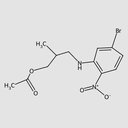 CC(=O)OCC(C)CNc1cc(Br)ccc1[N+](=O)[O-]